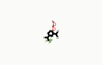 C=C(c1ccc(OCOC)c(C(C)C)c1)C(F)(F)F